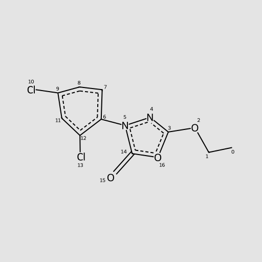 CCOc1nn(-c2ccc(Cl)cc2Cl)c(=O)o1